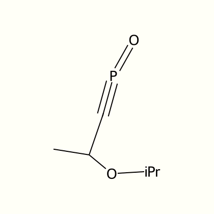 CC(C)OC(C)C#P=O